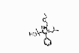 CCOCc1nc(C(C)(C)O)c(-c2ccccc2)n1CC(C)C